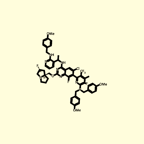 COc1ccc(CNc2ncccc2C(C)Nc2nc(OC[C@@]34CCCN3C[C@H](F)C4)nc3c(F)c(-c4nc(N(Cc5ccc(OC)cc5)Cc5ccc(OC)cc5)c(F)c(C)c4C(F)(F)F)c(Cl)cc23)cc1